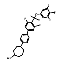 CCCC1CCCC(c2ccc(-c3cc(F)c(C(F)(F)Oc4cc(F)c(F)c(F)c4)c(F)c3)cc2)CC1